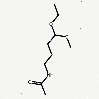 CCOC(CCCNC(C)=O)OC